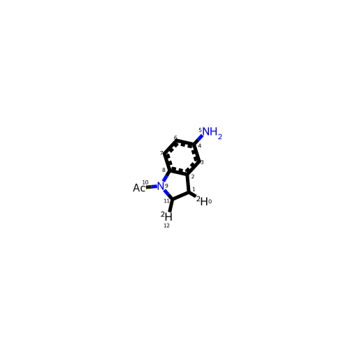 [2H]C1c2cc(N)ccc2N(C(C)=O)C1[2H]